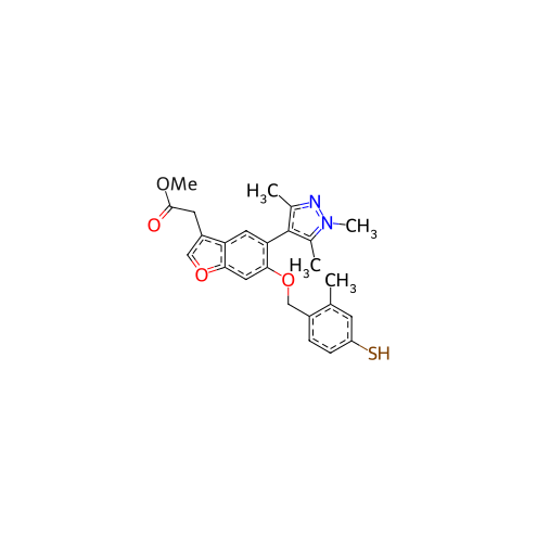 COC(=O)Cc1coc2cc(OCc3ccc(S)cc3C)c(-c3c(C)nn(C)c3C)cc12